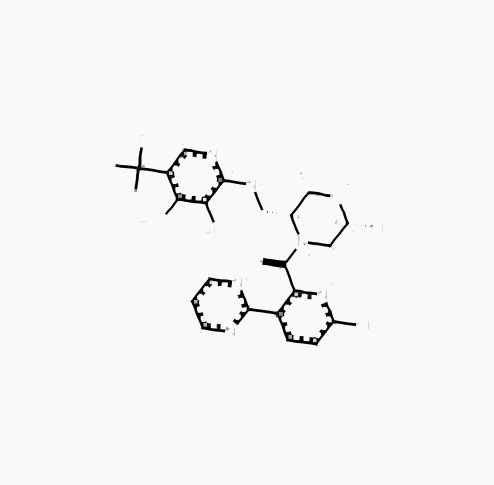 Cc1ccc(-c2ncccn2)c(C(=O)N2C[C@@H](C)O[C@@H](C)[C@H]2CNc2ncc(C(F)(F)F)c(C)c2F)n1